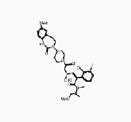 COCC(C)N(C)C(=O)/C(=C\N(C=O)CC(=O)N1CCC(N2CCc3cc(SC)ccc3NC2=O)CC1)c1cccc(F)c1Cl